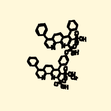 O=S(=O)(O)c1nc2c(ccc3c(-c4ccccc4)ccnc32)c(-c2ccccc2)c1S(=O)(=O)O.O=S(=O)(O)c1nc2c(ccc3c(-c4ccccc4)ccnc32)c(-c2ccccc2)c1S(=O)(=O)O.[Cu]